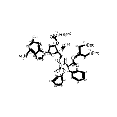 C#C[C@]1(CO[P@@](=O)(N[C@@H](Cc2ccccc2)C(=O)OC(CCCCCCCCCCC)CCCCCCCCCCC)Oc2ccccc2)O[C@@H](n2cnc3c(N)nc(F)nc32)C[C@@H]1OC(=O)CCCCCCC